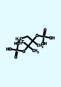 CCC(C)(OP(=O)(O)O)C(C)(C)OP(=O)(O)O